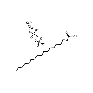 CCCCCCCCCCCCCCCCCC(=O)O.O=P([O-])([O-])[O-].O=P([O-])([O-])[O-].[Ca+2].[Ca+2].[Ca+2]